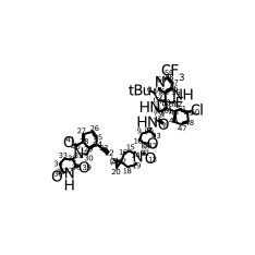 CC(C)(C)C[C@@H]1N[C@@H](C(=O)N[C@@H]2CC[C@@H](C(=O)N3CCC4(CC3)C[C@@H]4C#Cc3cccc4c3CN(C3CCC(=O)NC3=O)C4=O)OC2)[C@H](c2cccc(Cl)c2F)[C@]12CNc1cc(C(F)(F)F)ncc12